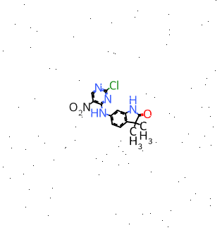 CC1(C)C(=O)Nc2cc(Nc3nc(Cl)ncc3[N+](=O)[O-])ccc21